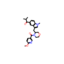 COc1ccc(C(=O)N2CCOCC2Cc2cn(C)c3ccc(C(=O)C(C)C)cc23)cn1